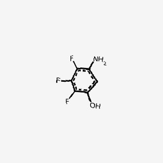 Nc1cc(O)c(F)c(F)c1F